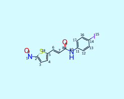 O=Nc1ccc(/C=C/C(=O)Nc2ccc(I)cc2)s1